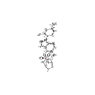 CC(C)OC(=O)N1C2CCC1CC(Oc1ncnc3c1cnn3-c1ccc(S)cc1F)C2